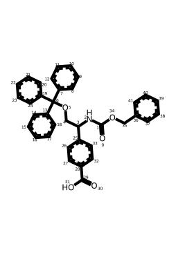 O=C(NC(COC(c1ccccc1)(c1ccccc1)c1ccccc1)c1ccc(C(=O)O)cc1)OCc1ccccc1